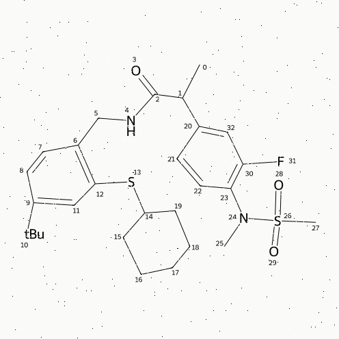 CC(C(=O)NCc1ccc(C(C)(C)C)cc1SC1CCCCC1)c1ccc(N(C)S(C)(=O)=O)c(F)c1